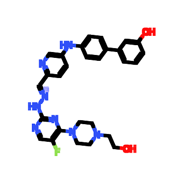 OCCN1CCN(c2nc(N/N=C/c3ccc(Nc4ccc(-c5cccc(O)c5)cc4)cn3)ncc2F)CC1